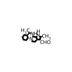 Cc1[nH]c2c(NC(C)c3ccccc3)nccc2c1C=O